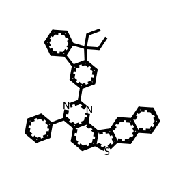 CCC1(CC)c2ccccc2-c2cc(-c3nc(-c4ccccc4)c4ccc5sc6cc7ccccc7cc6c5c4n3)ccc21